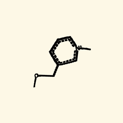 COCc1ccc[n+](C)c1